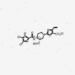 C=Cc1nc(N2CC[C@@H](NC(=O)c3nc(Cl)c(CC)[nH]3)[C@@H](OC)C2)sc1C(=O)OCC